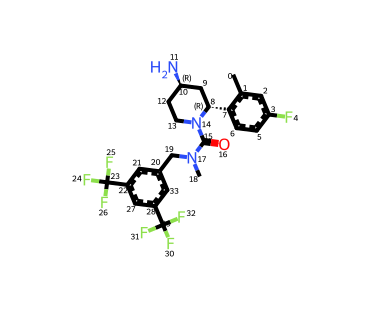 Cc1cc(F)ccc1[C@H]1C[C@H](N)CCN1C(=O)N(C)Cc1cc(C(F)(F)F)cc(C(F)(F)F)c1